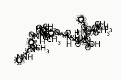 COC(=O)[C@H](CNC(=O)c1ccc2c(CCCNC3=NCCCC3)nn(C)c2c1)NS(=O)(=O)c1c(C)cc(OCCCC(=O)NCCNC(=O)[C@H](CCC(=O)O)NC(=O)[C@H](CCC(=O)OC(C)(C)C)NC(=O)OCc2ccccc2)cc1C